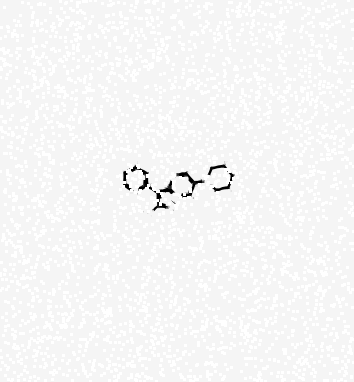 Nc1nn2cc(N3CCCCC3)cnc2c1-c1ccccn1